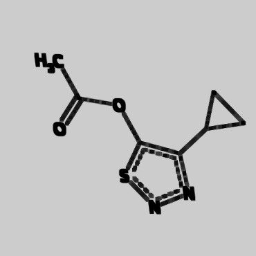 CC(=O)Oc1snnc1C1CC1